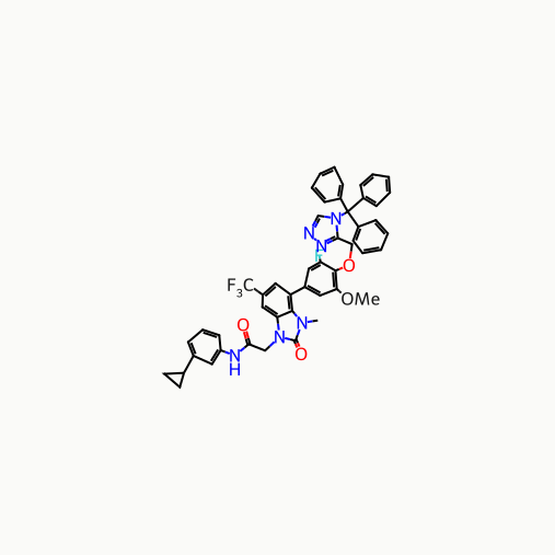 COc1cc(-c2cc(C(F)(F)F)cc3c2n(C)c(=O)n3CC(=O)Nc2cccc(C3CC3)c2)cc(F)c1OCc1nncn1C(c1ccccc1)(c1ccccc1)c1ccccc1